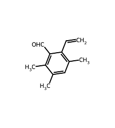 C=Cc1c(C)cc(C)c(C)c1C=O